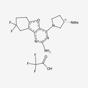 CN[C@H]1CCN(c2nc(N)nc3c4c(oc23)CCC(F)(F)C4)C1.O=C(O)C(F)(F)F